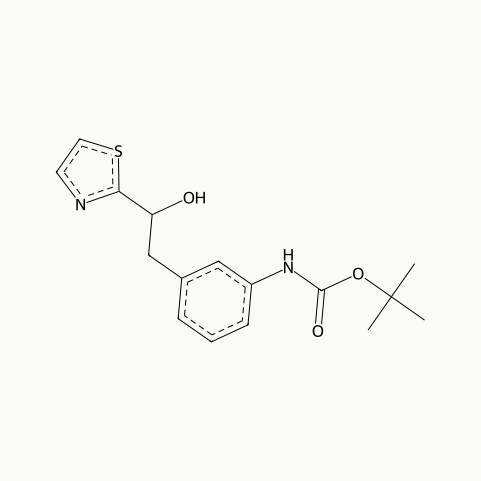 CC(C)(C)OC(=O)Nc1cccc(CC(O)c2nccs2)c1